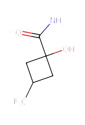 NC(=O)C1(O)CC(C(F)(F)F)C1